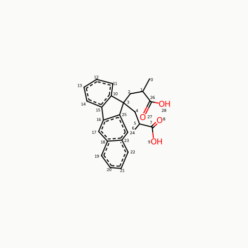 CC(CC1(CC(C)C(=O)O)c2ccccc2-c2cc3ccccc3cc21)C(=O)O